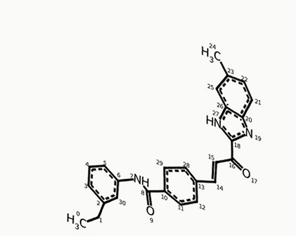 CCc1cccc(NC(=O)c2ccc(C=CC(=O)c3nc4ccc(C)cc4[nH]3)cc2)c1